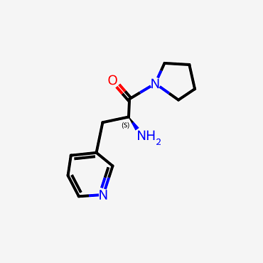 N[C@@H](Cc1cccnc1)C(=O)N1CCCC1